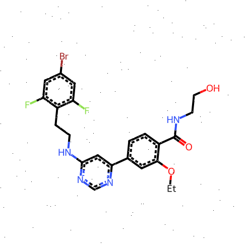 CCOc1cc(-c2cc(NCCc3c(F)cc(Br)cc3F)ncn2)ccc1C(=O)NCCO